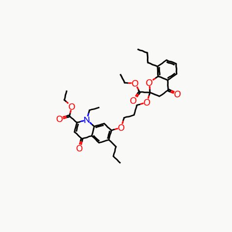 CCCc1cc2c(=O)cc(C(=O)OCC)n(CC)c2cc1OCCCOC1(C(=O)OCC)CC(=O)c2cccc(CCC)c2O1